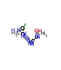 C[C@H](CO)n1cc(-c2cc3c(N4CCN(c5ncc([C@@](C)(N)c6ccc(F)cc6)cn5)CC4)ncnn3c2)cn1